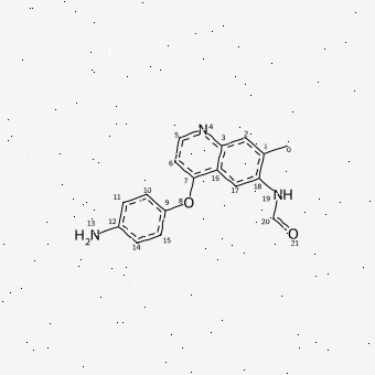 Cc1cc2nccc(Oc3ccc(N)cc3)c2cc1NC=O